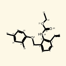 C=Cc1cccc(COc2ccc(C)cc2C)c1NC(=O)OCC